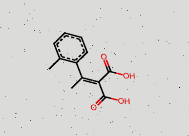 CC(=C(C(=O)O)C(=O)O)c1ccccc1C